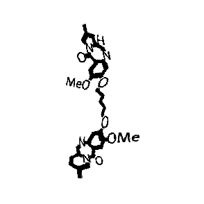 COc1cc2c(cc1OCCCCCOc1cc3c(cc1OC)C(=O)N1C=C(C)C[C@H]1C=N3)N=CC1CCC(C)=CN1C2=O